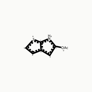 CC(=O)Oc1cc2ccsc2[nH]1